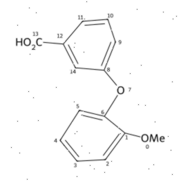 COc1ccccc1Oc1cccc(C(=O)O)c1